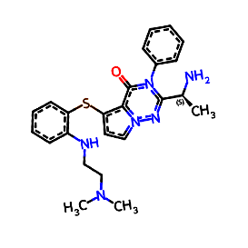 C[C@H](N)c1nn2ccc(Sc3ccccc3NCCN(C)C)c2c(=O)n1-c1ccccc1